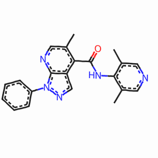 Cc1cncc(C)c1NC(=O)c1c(C)cnc2c1cnn2-c1ccccc1